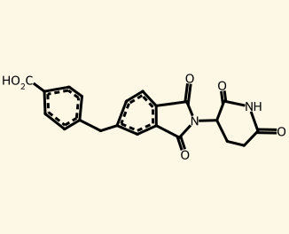 O=C1CCC(N2C(=O)c3ccc(Cc4ccc(C(=O)O)cc4)cc3C2=O)C(=O)N1